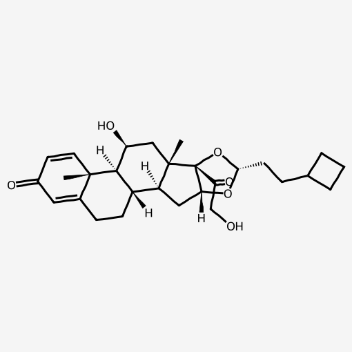 C[C@]12C=CC(=O)C=C1CC[C@@H]1[C@@H]2[C@@H](O)C[C@@]2(C)[C@H]1C[C@H]1O[C@@H](CCC3CCC3)O[C@]12C(=O)CO